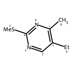 CCc1cnc(SC)nc1C